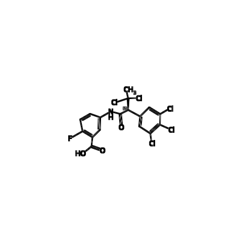 CC(Cl)(Cl)[C@H](C(=O)Nc1ccc(F)c(C(=O)O)c1)c1cc(Cl)c(Cl)c(Cl)c1